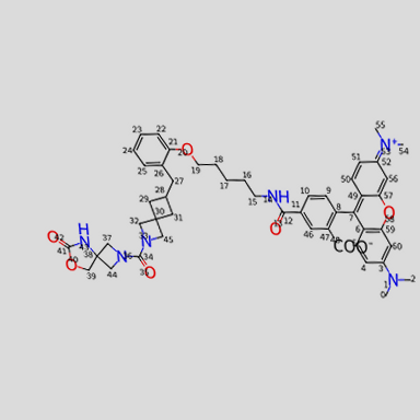 CN(C)c1ccc2c(-c3ccc(C(=O)NCCCCCOc4ccccc4CC4CC5(C4)CN(C(=O)N4CC6(COC(=O)N6)C4)C5)cc3C(=O)[O-])c3ccc(=[N+](C)C)cc-3oc2c1